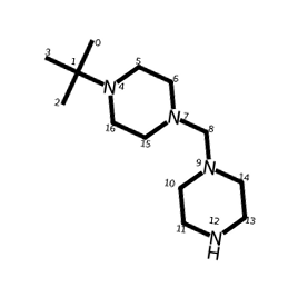 CC(C)(C)N1CCN(CN2CCNCC2)CC1